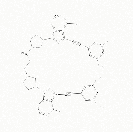 COc1cc(C#Cc2nn(C3CCN(CCC(=O)N4CCC(n5nc(C#Cc6cc(OC)cc(OC)c6)c6c(N)ncnc65)C4)C3)c3ncnc(N)c23)cc(OC)c1